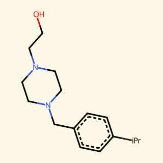 CC(C)c1ccc(CN2CCN(CCO)CC2)cc1